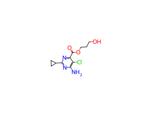 Nc1nc(C2CC2)nc(C(=O)OCCCO)c1Cl